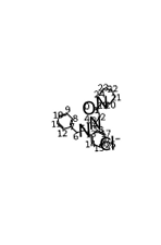 O=C(Cn1c[n+](Cc2ccccc2)c2ccccc21)N1CCCCC1.[Cl-]